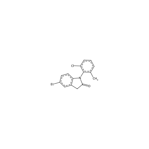 CCc1ccc2c(c1)CC(=O)N2c1c(C)cccc1Cl